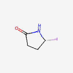 O=C1CC[C@@H](I)N1